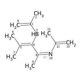 C=C(C)BC(=C(C)C)/C(C)=N\C(=C)C